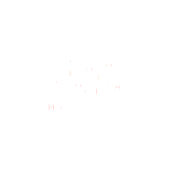 O=P(O)(O)OP1(=O)OC(O)O1